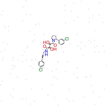 O=C(NCC#Cc1ccc(Cl)cc1)[C@H](O)[C@@H](O)C(=O)N1CCCC1c1cccc(Cl)c1